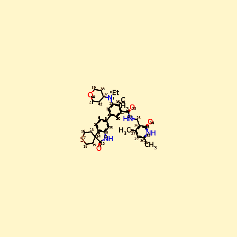 CCN(c1cc(-c2ccc3c(c2)NC(=O)C32CCSCC2)cc(C(=O)NCc2c(C)cc(C)[nH]c2=O)c1C)C1CCOCC1